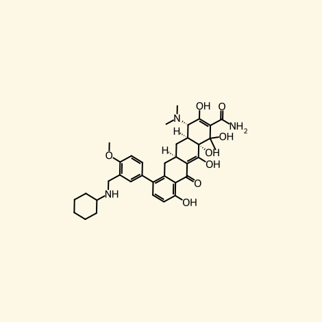 COc1ccc(-c2ccc(O)c3c2C[C@H]2C[C@H]4[C@H](N(C)C)C(O)=C(C(N)=O)C(C)(O)[C@@]4(O)C(O)=C2C3=O)cc1CNC1CCCCC1